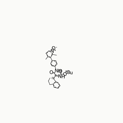 Cc1cc[n+]([O-])c(C)c1-c1ccc(NC(=O)[C@@H](NC(=O)OC(C)(C)C)[C@H]2CCCc3ccccc32)cc1